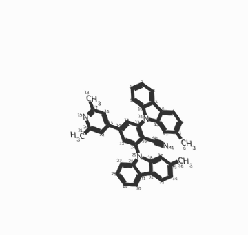 Cc1ccc2c3ccccc3n(-c3cc(-c4cc(C)nc(C)c4)cc(-n4c5ccccc5c5ccc(C)cc54)c3C#N)c2c1